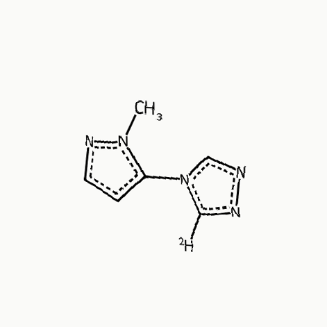 [2H]c1nncn1-c1ccnn1C